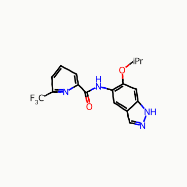 CC(C)Oc1cc2[nH]ncc2cc1NC(=O)c1cccc(C(F)(F)F)n1